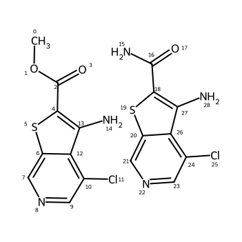 COC(=O)c1sc2cncc(Cl)c2c1N.NC(=O)c1sc2cncc(Cl)c2c1N